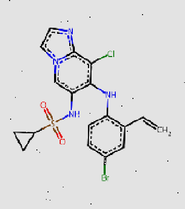 C=Cc1cc(Br)ccc1Nc1c(NS(=O)(=O)C2CC2)cn2ccnc2c1Cl